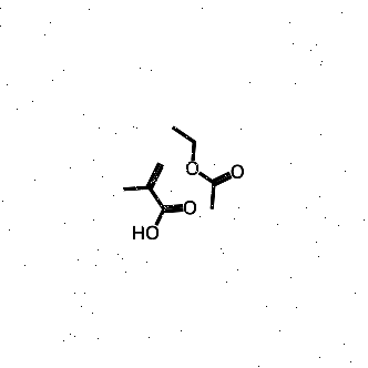 C=C(C)C(=O)O.CCOC(C)=O